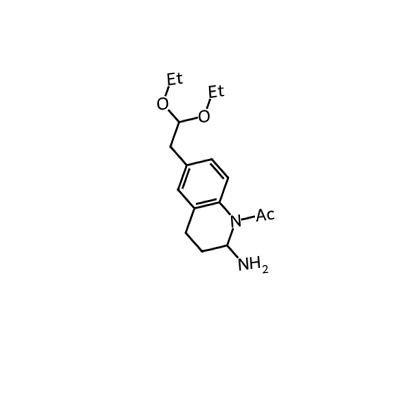 CCOC(Cc1ccc2c(c1)CCC(N)N2C(C)=O)OCC